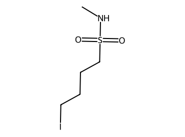 CNS(=O)(=O)CCCCI